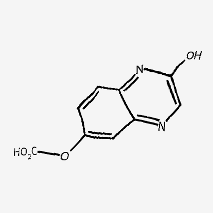 O=C(O)Oc1ccc2nc(O)cnc2c1